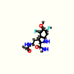 CNC(=O)c1[nH]c2cc(F)c(OC)c(F)c2c1CCNC(C)=O